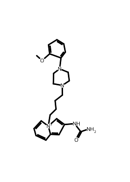 COc1ccccc1N1CCN(CCCC[N+]23C=CC=CC2=CC(NC(N)=O)=C3)CC1